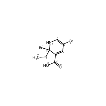 CCC1(Br)NC=C(Br)C=C1C(=O)O